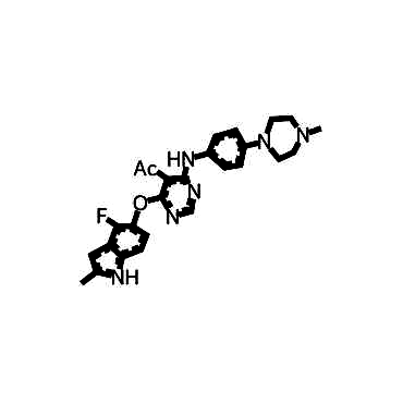 CC(=O)c1c(Nc2ccc(N3CCN(C)CC3)cc2)ncnc1Oc1ccc2[nH]c(C)cc2c1F